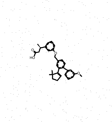 COc1cccc(-c2ccc(COc3cccc([C@H](C)CC(=O)O)c3)cc2C2=CCCC2(C)C)c1